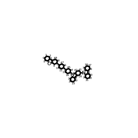 c1ccc2c(c1)oc1cc(-c3ccc(-c4ccc(-n5c6ccccc6c6cc(-n7c8ccccc8c8ccccc87)ccc65)cc4)cc3)ccc12